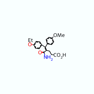 CCOc1ccc(C(=C(CCC(=O)O)C(N)=O)c2ccc(OC)cc2)cc1